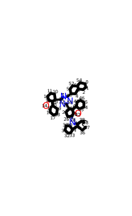 c1ccc2cc(-c3nc(-c4cccc5oc6ccccc6c45)nc(-c4ccc(-n5c6ccccc6c6ccccc65)c5oc6ccccc6c45)n3)ccc2c1